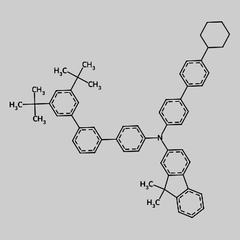 CC(C)(C)c1cc(-c2cccc(-c3ccc(N(c4ccc(-c5ccc(C6CCCCC6)cc5)cc4)c4ccc5c(c4)C(C)(C)c4ccccc4-5)cc3)c2)cc(C(C)(C)C)c1